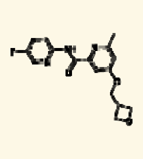 Cc1cc(OCC2COC2)cc(C(=O)Nc2ccc(F)cn2)n1